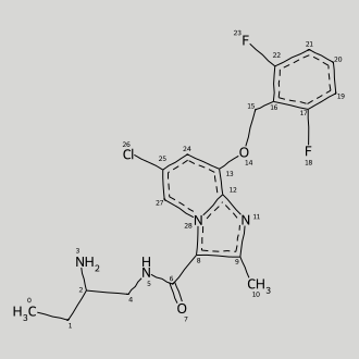 CCC(N)CNC(=O)c1c(C)nc2c(OCc3c(F)cccc3F)cc(Cl)cn12